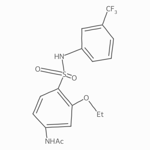 CCOc1cc(NC(C)=O)ccc1S(=O)(=O)Nc1cccc(C(F)(F)F)c1